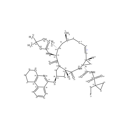 C[C@H]1CC/C=C\[C@@H]2C[C@@]2(C(=O)NS(=O)(=O)C2(CF)CC2)NC(=O)[C@@H]2C[C@@H](Oc3nc4c(c5ccccc35)CCCO4)CN2C(=O)[C@@H](NC(=O)OC(C)(C)C)[C@H](C)C1